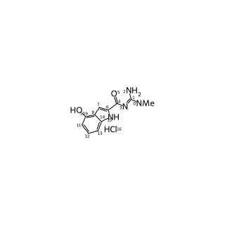 CNC(N)=NC(=O)c1cc2c(O)cccc2[nH]1.Cl